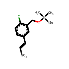 CC(C)(C)[Si](C)(C)OCc1cc(/C=C/[N+](=O)[O-])ccc1Cl